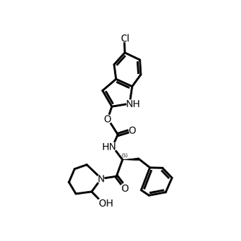 O=C(N[C@@H](Cc1ccccc1)C(=O)N1CCCCC1O)Oc1cc2cc(Cl)ccc2[nH]1